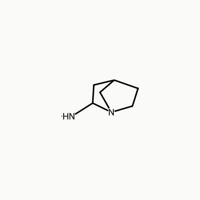 [NH]C1CC2CCN1C2